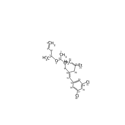 C=CCC(C)OC(C)OC/C(=C/c1cc(Cl)cc(Cl)c1)CC(=C)CC